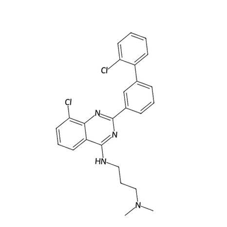 CN(C)CCCNc1nc(-c2cccc(-c3ccccc3Cl)c2)nc2c(Cl)cccc12